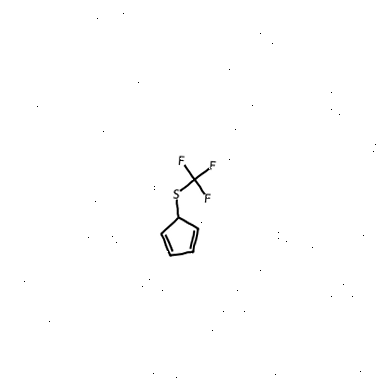 FC(F)(F)SC1C=CC=C1